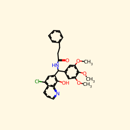 COc1cc(C(NC(=O)CCc2ccccc2)c2cc(Cl)c3cccnc3c2O)cc(OC)c1OC